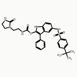 CC(C)(C)c1ccc(S(=O)(=O)Nc2ccc3[nH]c(OC(=O)NCCN4CCNC4=O)c(-c4ccccc4)c3c2)cc1